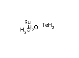 O.O.[Ru].[TeH2]